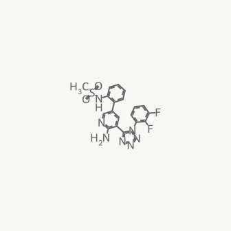 CS(=O)(=O)Nc1ccccc1-c1cnc(N)c(-c2nnnn2-c2cccc(F)c2F)c1